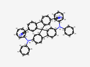 N#Cc1ccc2c(c1)C1(c3cc(C#N)ccc3-2)c2cc(N(c3ccccc3)c3ccccc3)ccc2-c2ccc(N(c3ccccc3)c3ccccc3)cc21